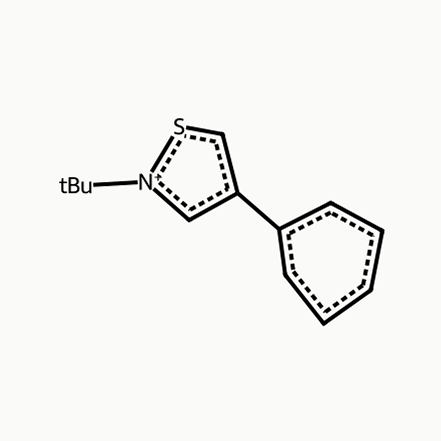 CC(C)(C)[n+]1cc(-c2ccccc2)cs1